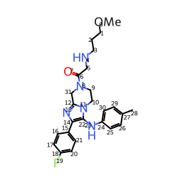 COCCCNCC(=O)N1CCn2c(nc(-c3ccc(F)cc3)c2Nc2ccc(C)cc2)C1